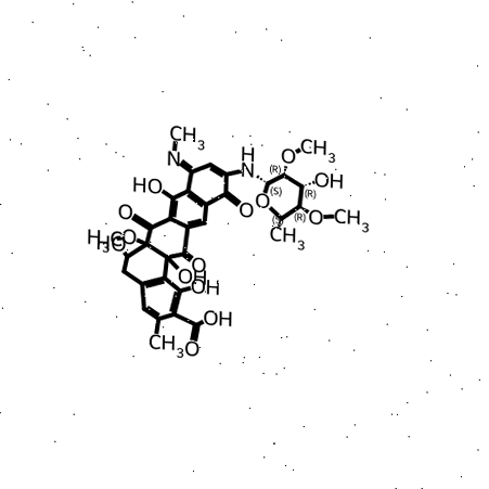 CN=C1C=C(N[C@H]2O[C@@H](C)[C@H](OC)[C@@H](O)[C@H]2OC)C(=O)c2cc3c(c(O)c21)C(=O)C1(OC)C(O)Cc2cc(C)c(C(=O)O)c(O)c2C1(O)C3=O